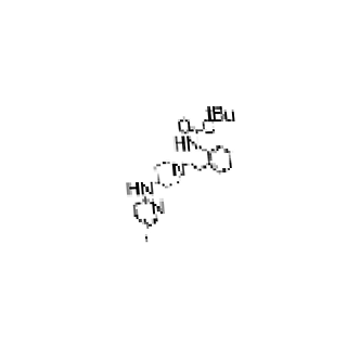 Cc1ccc(NC2CCN(CCc3ccccc3NC(=O)OC(C)(C)C)CC2)nc1